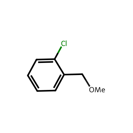 COCc1ccccc1Cl